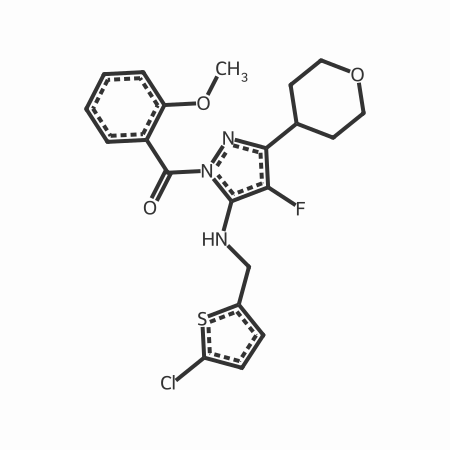 COc1ccccc1C(=O)n1nc(C2CCOCC2)c(F)c1NCc1ccc(Cl)s1